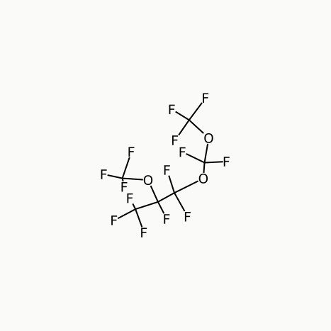 FC(F)(F)OC(F)(F)OC(F)(F)C(F)(OC(F)(F)F)C(F)(F)F